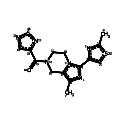 Cc1nc(-c2nc(C)c3n2CCN(C(=O)c2cnsn2)C3)cs1